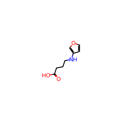 O=C(O)CCCNc1ccoc1